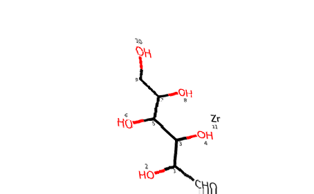 O=CC(O)C(O)C(O)C(O)CO.[Zr]